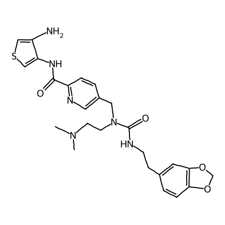 CN(C)CCN(Cc1ccc(C(=O)Nc2cscc2N)nc1)C(=O)NCCc1ccc2c(c1)OCO2